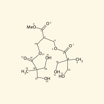 COC(=O)C(COC(=O)C(C)(CO)CO)COC(=O)C(C)(CO)CO